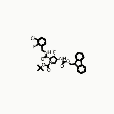 CC(C)(C)OC(=O)N1C[C@H](NC(=O)OCC2c3ccccc3-c3ccccc32)[C@H](F)[C@@H]1C(=O)NCc1cccc(Cl)c1F